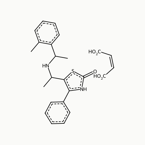 Cc1ccccc1C(C)NC(C)c1sc(=O)[nH]c1-c1ccccc1.O=C(O)/C=C\C(=O)O